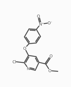 COC(=O)c1cnc(Cl)c(Oc2ccc([N+](=O)[O-])cc2)c1